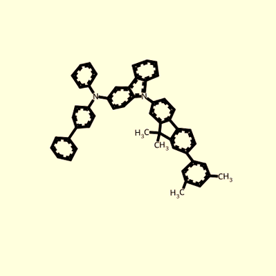 Cc1cc(C)cc(-c2ccc3c(c2)C(C)(C)c2cc(-n4c5ccccc5c5cc(N(c6ccccc6)c6ccc(-c7ccccc7)cc6)ccc54)ccc2-3)c1